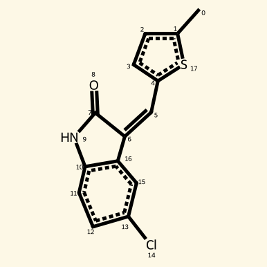 Cc1ccc(C=C2C(=O)Nc3ccc(Cl)cc32)s1